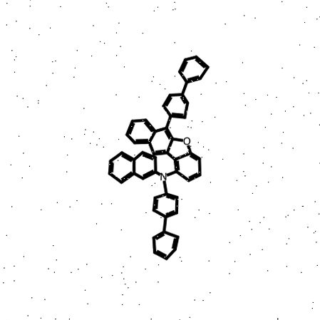 c1ccc(-c2ccc(-c3c4ccccc4cc4c3oc3cccc(N(c5ccc(-c6ccccc6)cc5)c5ccc6ccccc6c5)c34)cc2)cc1